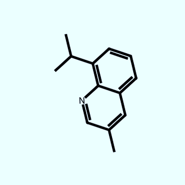 Cc1cnc2c(C(C)C)cccc2c1